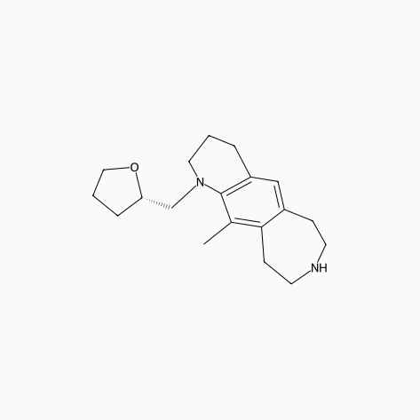 Cc1c2c(cc3c1N(C[C@@H]1CCCO1)CCC3)CCNCC2